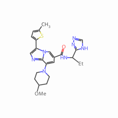 CCC(NC(=O)c1cc(N2CCC(OC)CC2)c2ncc(-c3ccc(C)s3)n2c1)c1nnc[nH]1